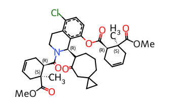 COC(=O)[C@@]1(C)CC=CC[C@H]1C(=O)Oc1ccc(Cl)c2c1[C@@H](C1CCCC3(CC3)CC1=O)N(C(=O)[C@@H]1CC=CC[C@]1(C)C(=O)OC)CC2